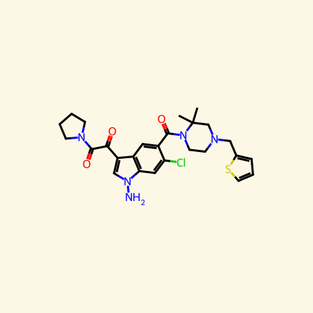 CC1(C)CN(Cc2cccs2)CCN1C(=O)c1cc2c(C(=O)C(=O)N3CCCC3)cn(N)c2cc1Cl